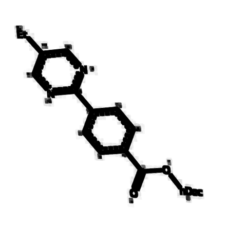 CCCCCCCCCCOC(=O)c1ccc(-c2ncc(CC)cn2)cc1